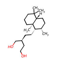 C[C@H]1CC[C@H]2C(C)(C)CCC[C@]2(C)[C@H]1CC[C@H](CO)CCO